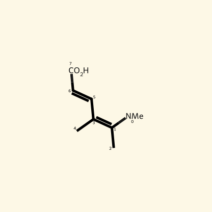 CN/C(C)=C(C)\C=C\C(=O)O